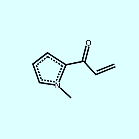 C=CC(=O)c1cccn1C